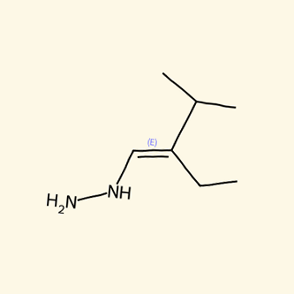 CC/C(=C\NN)C(C)C